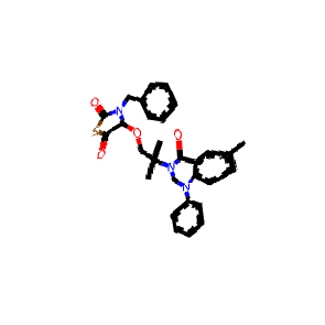 Cc1ccc2c(c1)C(=O)N(C(C)(C)COC1C(=O)SC(=O)N1Cc1ccccc1)CN2c1ccccc1